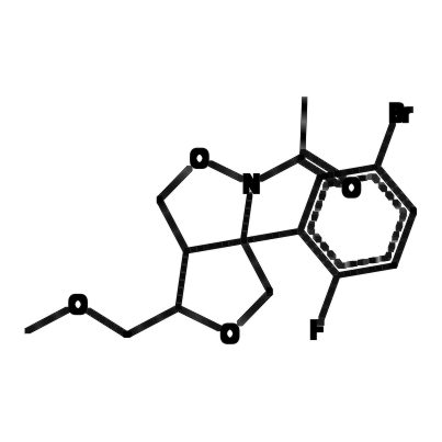 COCC1OCC2(c3cc(Br)ccc3F)C1CON2C(C)=O